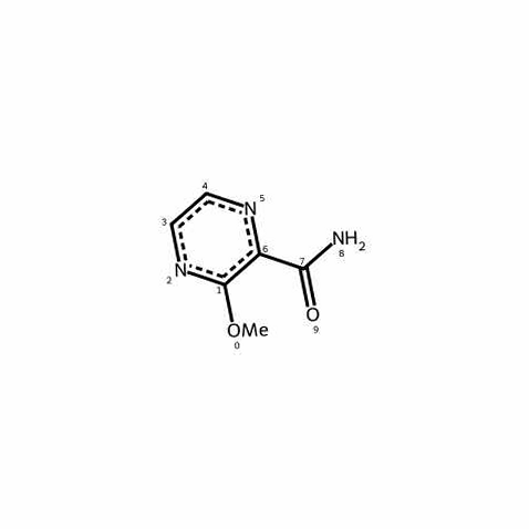 COc1nccnc1C(N)=O